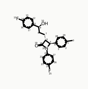 Cc1ccc([C@@H]2[C@@H](CC[C@H](O)c3ccc(F)cc3)C(=O)N2c2ccc(F)cc2)cc1